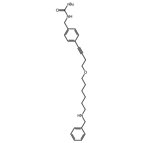 CCCCC(=O)NCc1ccc(C#CCCOCCCCCCNCc2ccccc2)cc1